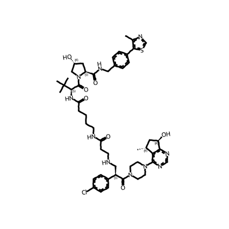 Cc1ncsc1-c1ccc(CNC(=O)[C@@H]2C[C@@H](O)CN2C(=O)[C@@H](NC(=O)CCCCNC(=O)CCNC[C@@H](C(=O)N2CCN(c3ncnc4c3[C@H](C)C[C@H]4O)CC2)c2ccc(Cl)cc2)C(C)(C)C)cc1